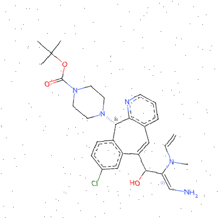 C=CN(C)/C(=C\N)C(O)C1=Cc2cccnc2[C@@H](N2CCN(C(=O)OC(C)(C)C)CC2)c2ccc(Cl)cc21